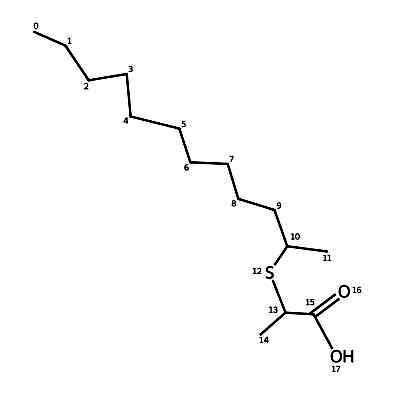 CCCCCCCCCCC(C)SC(C)C(=O)O